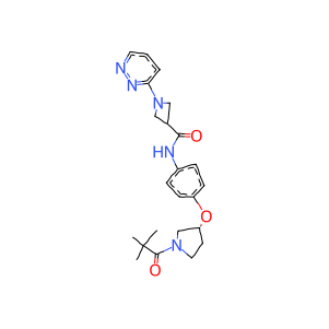 CC(C)(C)C(=O)N1CC[C@@H](Oc2ccc(NC(=O)C3CN(c4cccnn4)C3)cc2)C1